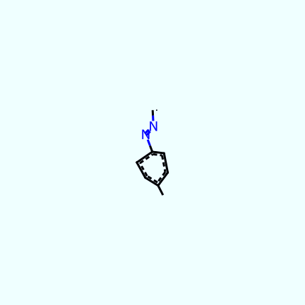 [CH2]N=Nc1ccc(C)cc1